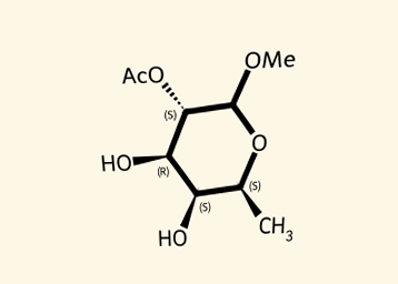 COC1O[C@@H](C)[C@@H](O)[C@@H](O)[C@@H]1OC(C)=O